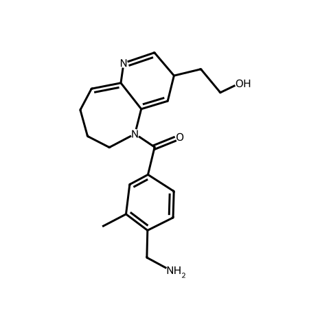 Cc1cc(C(=O)N2CCCC=C3N=CC(CCO)C=C32)ccc1CN